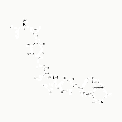 CC(C)NC1CC1c1ccc(COC(=O)NC2(c3ccc(C(=O)Nc4ccccc4N)cc3)CC2)cc1